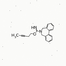 CC#CCCOC(=N)N1Cc2ccccc2-c2ccccc2C1